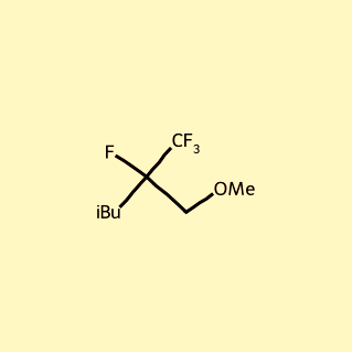 CCC(C)C(F)(COC)C(F)(F)F